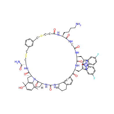 CC1(O)C=CC2(C)C[C@@H]3NC(=O)N[C@@H]4CCCc5ccc(cc54)C(=O)[C@H](Cc4c[nH]c5ccc(F)cc45)NC(=O)[C@H](Cc4c[nH]c5ccc(F)cc45)NC(=O)CNC(=O)[C@H](CCCCN)NC(=O)CCSCc4cccc(c4)CSC[C@@H](C(N)=O)NC(=O)[C@]4(C)CC1=C2N4C3=O